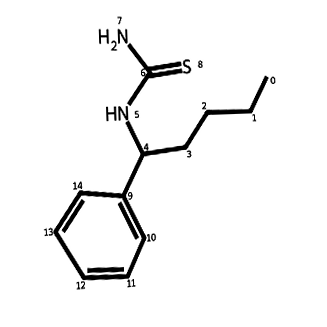 CCCCC(NC(N)=S)c1ccccc1